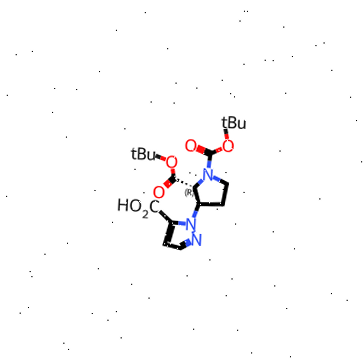 CC(C)(C)OC(=O)[C@H]1C(n2nccc2C(=O)O)CCN1C(=O)OC(C)(C)C